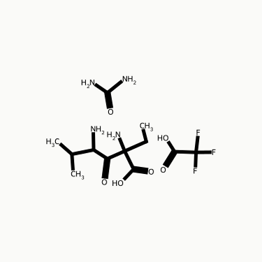 CCC(N)(C(=O)O)C(=O)C(N)C(C)C.NC(N)=O.O=C(O)C(F)(F)F